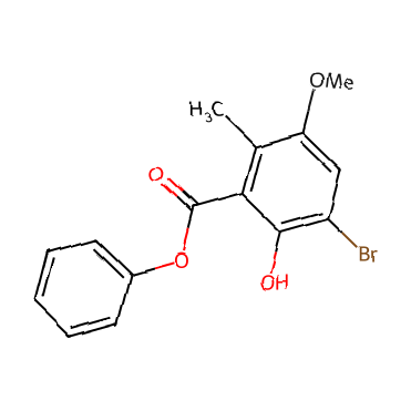 COc1cc(Br)c(O)c(C(=O)Oc2ccccc2)c1C